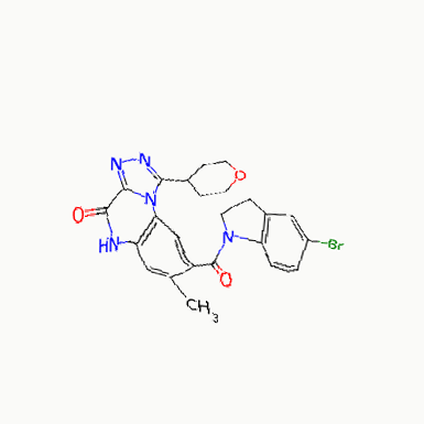 Cc1cc2[nH]c(=O)c3nnc(C4CCOCC4)n3c2cc1C(=O)N1CCc2cc(Br)ccc21